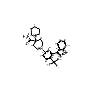 NC(=O)C1(N2CCCCC2)CCN(c2ccc(C(F)(F)F)c(-c3n[nH]c4ncccc34)n2)CC1